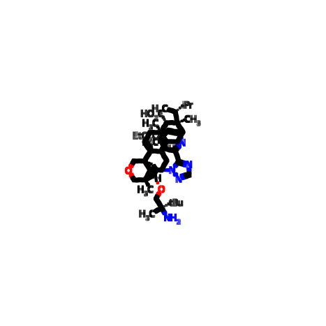 CCOC(=O)c1ccnc(-c2ncnn2[C@@H]2C[C@@]34COC[C@](C)([C@@H]3CC[C@H]3C4=CC[C@@]4(C)[C@H](C(=O)O)[C@@](C)([C@H](C)C(C)C)CC[C@]34C)[C@H]2OC[C@](C)(N)C(C)(C)C)c1